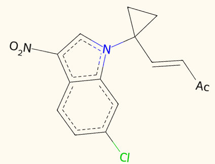 CC(=O)/C=C/C1(n2cc([N+](=O)[O-])c3ccc(Cl)cc32)CC1